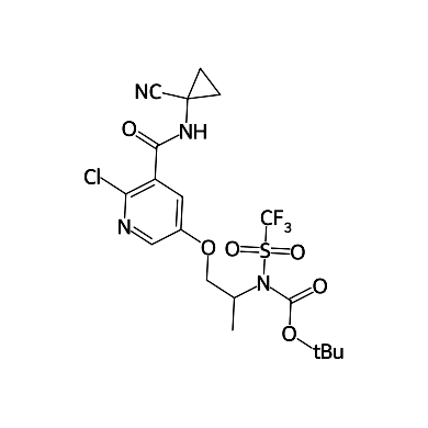 CC(COc1cnc(Cl)c(C(=O)NC2(C#N)CC2)c1)N(C(=O)OC(C)(C)C)S(=O)(=O)C(F)(F)F